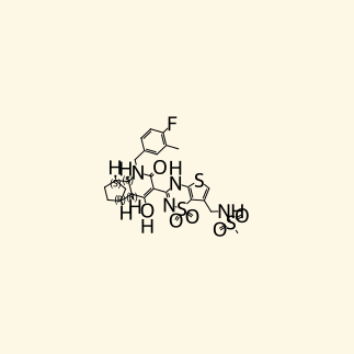 Cc1cc(CN2C(=O)C(C3=NS(=O)(=O)c4c(CNS(C)(=O)=O)csc4N3)=C(O)[C@@H]3[C@@H]4CC[C@@H](C4)[C@@H]32)ccc1F